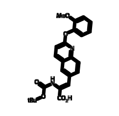 COc1ccccc1Oc1ccc2cc(C=C(NC(=O)OC(C)(C)C)C(=O)O)ccc2n1